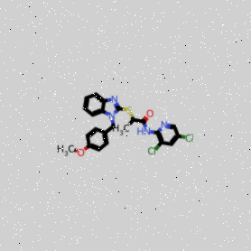 COc1ccc(Cn2c(SC(C)C(=O)Nc3ncc(Cl)cc3Cl)nc3ccccc32)cc1